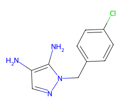 Nc1cnn(Cc2ccc(Cl)cc2)c1N